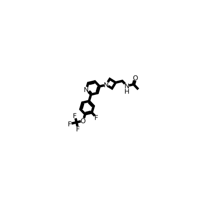 CC(=O)NCC1CN(c2ccnc(-c3ccc(OC(F)(F)F)c(F)c3)c2)C1